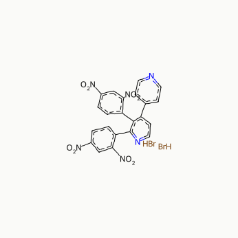 Br.Br.O=[N+]([O-])c1ccc(-c2nccc(-c3ccncc3)c2-c2ccc([N+](=O)[O-])cc2[N+](=O)[O-])c([N+](=O)[O-])c1